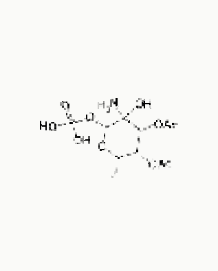 CC(=O)O[C@@H]1[C@H](C)O[C@H](OP(=O)(O)O)[C@@](N)(O)[C@@H]1OC(C)=O